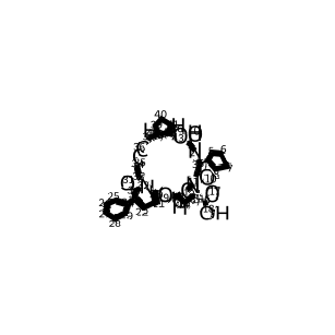 O=C1N[C@@H](C2CCCC2)C(=O)N2C[C@@H](C[C@H]2C(=O)O)Oc2ccc(-c3ccccc3)c(=O)n2CCCCC[C@@H]2CCC[C@H]2O1